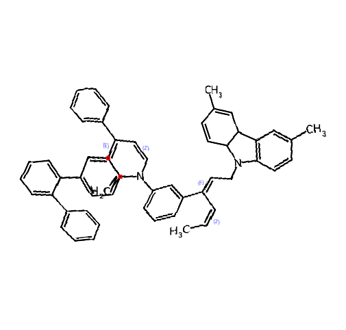 C=C/C=C(\C=C/N(c1ccc(-c2ccccc2-c2ccccc2)cc1)c1cccc(C(/C=C\C)=C/CN2c3ccc(C)cc3C3C=C(C)C=CC32)c1)c1ccccc1